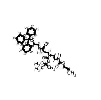 C=CCOC(=O)NCCN(CCC(=O)NCCSC(c1ccccc1)(c1ccccc1)c1ccccc1)C(=O)OC(C)(C)C